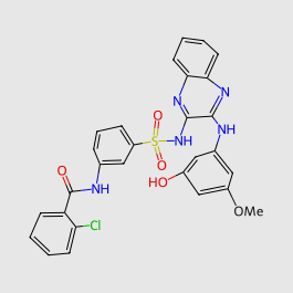 COc1cc(O)cc(Nc2nc3ccccc3nc2NS(=O)(=O)c2cccc(NC(=O)c3ccccc3Cl)c2)c1